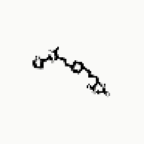 Cc1oc(-c2ccco2)nc1CCc1ccc(CCCC2OC(=O)NC2=O)cc1